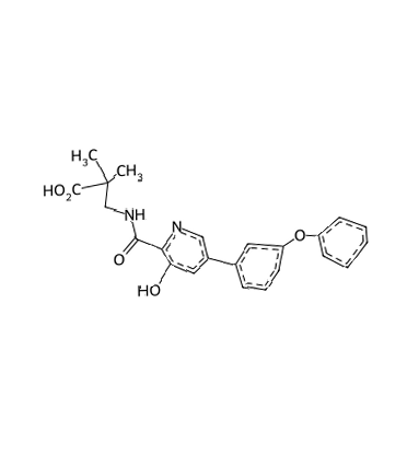 CC(C)(CNC(=O)c1ncc(-c2cccc(Oc3ccccc3)c2)cc1O)C(=O)O